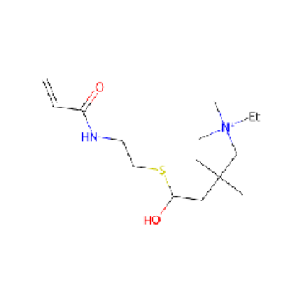 C=CC(=O)NCCSC(O)CC(C)(C)C[N+](C)(C)CC